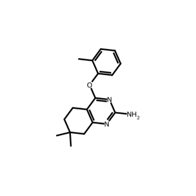 Cc1ccccc1Oc1nc(N)nc2c1CCC(C)(C)C2